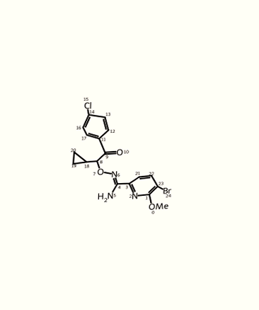 COc1nc(/C(N)=N/OC(C(=O)c2ccc(Cl)cc2)C2CC2)ccc1Br